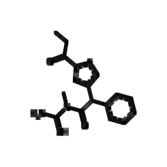 CCC(=O)c1cc(C(C(=O)N(C)C(=N)N)c2ccccc2)cs1